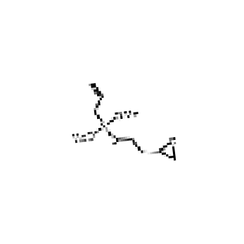 C=CC[Si](OC)(OC)OCCC1CO1